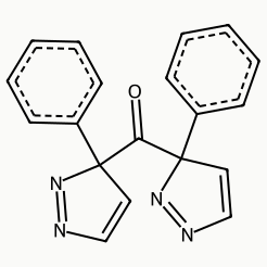 O=C(C1(c2ccccc2)C=CN=N1)C1(c2ccccc2)C=CN=N1